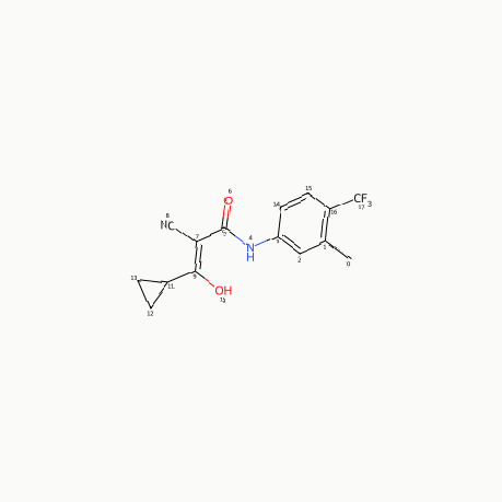 Cc1cc(NC(=O)C(C#N)=C(O)C2CC2)ccc1C(F)(F)F